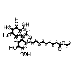 CCOC(=O)CCCCCCCCO[C@H]1O[C@H](CO)[C@@H](O)[C@H](O[C@@H]2O[C@H](CO)[C@H](O)[C@H](O)[C@H]2O)[C@@H]1NC(C)=O